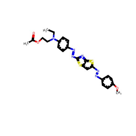 CCN(CCOC(C)=O)c1ccc(N=Nc2nc3sc(N=Nc4ccc(OC)cc4)cc3s2)cc1